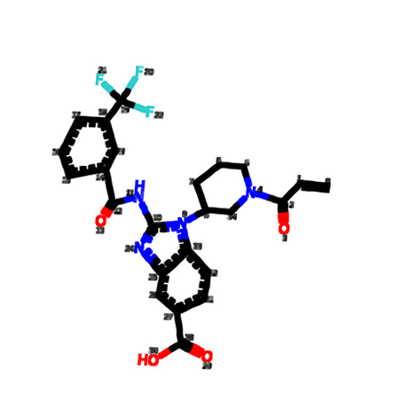 C=CC(=O)N1CCCC(n2c(NC(=O)c3cccc(C(F)(F)F)c3)nc3cc(C(=O)O)ccc32)C1